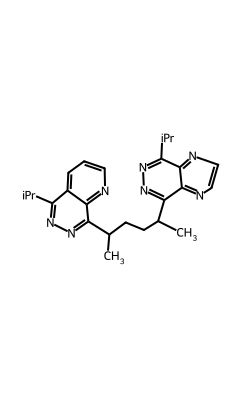 CC(C)c1nnc(C(C)CCC(C)c2nnc(C(C)C)c3nccnc23)c2ncccc12